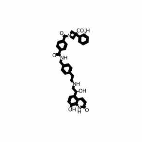 O=C(NCc1ccc(CCNC[C@H](O)c2ccc(O)c3[nH]c(=O)ccc23)cc1)c1ccc(C(=O)N2CC(C(=O)O)(c3ccccc3)C2)cc1